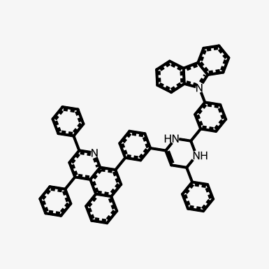 C1=C(c2cccc(-c3cc4ccccc4c4c(-c5ccccc5)cc(-c5ccccc5)nc34)c2)NC(c2cccc(-n3c4ccccc4c4ccccc43)c2)NC1c1ccccc1